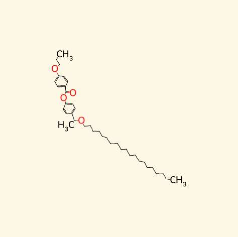 CCCCCCCCCCCCCCCCCCCCOC(C)c1ccc(OC(=O)c2ccc(OCCC)cc2)cc1